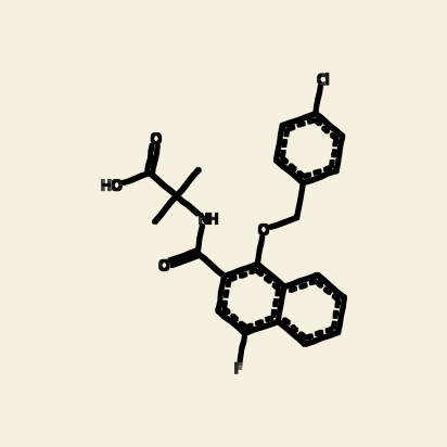 CC(C)(NC(=O)c1cc(F)c2ccccc2c1OCc1ccc(Cl)cc1)C(=O)O